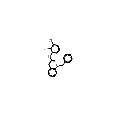 O=C(Cc1ccccc1OCc1ccccc1)Nc1cccc(Cl)c1Cl